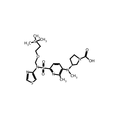 Cc1nc(S(=O)(=O)N(COCC[Si](C)(C)C)c2cscn2)ccc1N(C)[C@H]1CCN(C(=O)O)C1